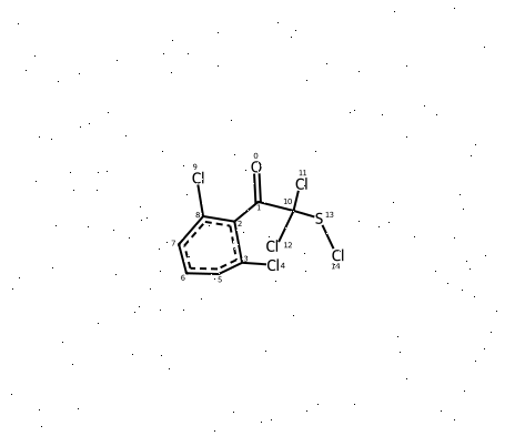 O=C(c1c(Cl)cccc1Cl)C(Cl)(Cl)SCl